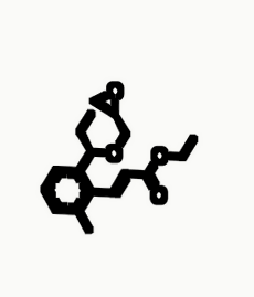 CCOC(=O)/C=C/c1c(C)cccc1[C@@H](CC)OC[C@H]1CO1